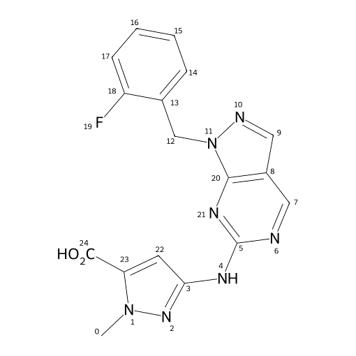 Cn1nc(Nc2ncc3cnn(Cc4ccccc4F)c3n2)cc1C(=O)O